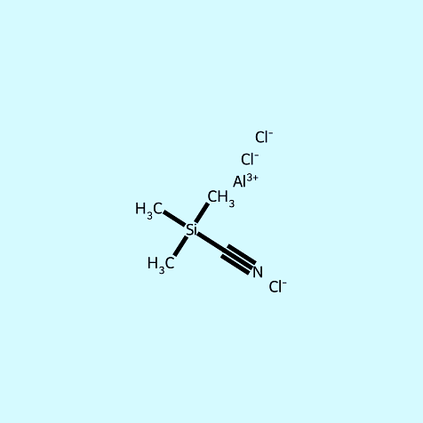 C[Si](C)(C)C#N.[Al+3].[Cl-].[Cl-].[Cl-]